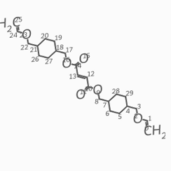 C=COCC1CCC(COC(=O)C=CC(=O)OCC2CCC(COC=C)CC2)CC1